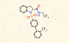 O=C(NCC(F)(F)F)[C@@H]1Cc2ccccc2N1S(=O)(=O)c1ccc(-c2ccccc2C(F)(F)F)cc1